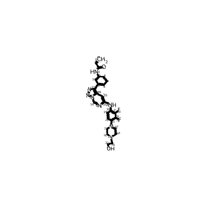 C=CC(=O)Nc1cccc(-c2nnn3cnc(Nc4ccc(N5CCN(CCO)CC5)c(F)c4F)cc23)c1